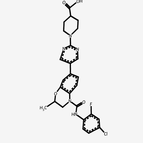 CC1CN(C(=O)Nc2ccc(Cl)cc2F)c2ccc(-c3cnc(N4CCC(C(=O)O)CC4)nc3)cc2O1